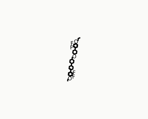 CCCOc1ccc(C2CCC(OCC3CCC(C4CC=C(c5ccc(OCC)c(F)c5F)CC4)CC3)CC2)c(F)c1F